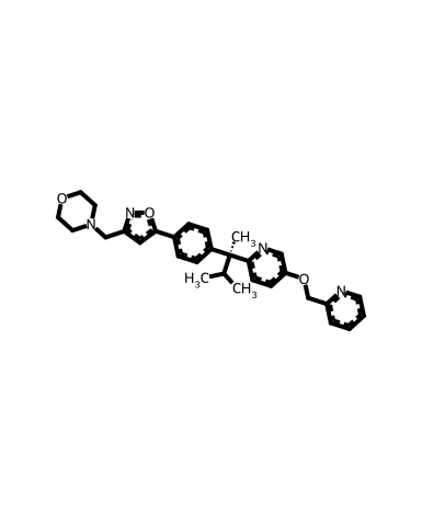 CC(C)[C@@](C)(c1ccc(-c2cc(CN3CCOCC3)no2)cc1)c1ccc(OCc2ccccn2)cn1